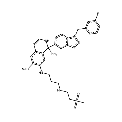 COc1cc2c(cc1NCCCNCCS(C)(=O)=O)C(N)(c1ccc3c(cnn3Cc3cccc(F)c3)c1)NC=N2